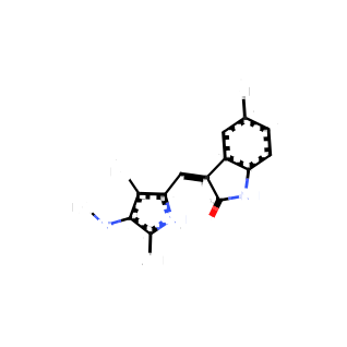 CNc1c(C)[nH]c(/C=C2\C(=O)Nc3ccc(C)cc32)c1C